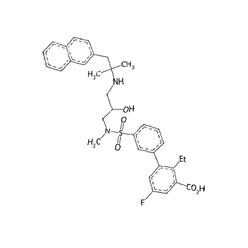 CCc1c(C(=O)O)cc(F)cc1-c1cccc(S(=O)(=O)N(C)CC(O)CNC(C)(C)Cc2ccc3ccccc3c2)c1